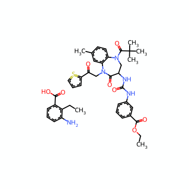 CCOC(=O)c1cccc(NC(=O)NC2CN(C(=O)C(C)(C)C)c3ccc(C)cc3N(CC(=O)c3cccs3)C2=O)c1.CCc1c(N)cccc1C(=O)O